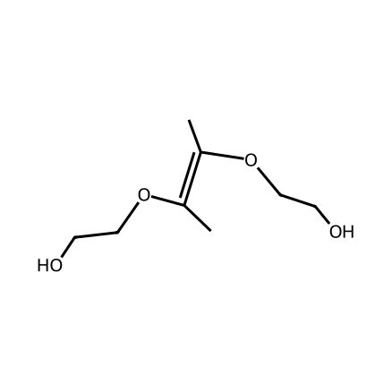 CC(OCCO)=C(C)OCCO